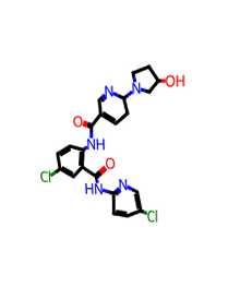 O=C(Nc1ccc(Cl)cc1C(=O)Nc1ccc(Cl)cn1)C1=CCC(N2CCC(O)C2)N=C1